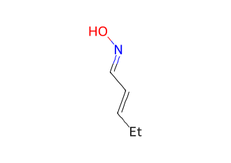 CCC=CC=NO